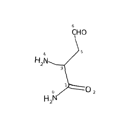 NC(=O)C(N)CC=O